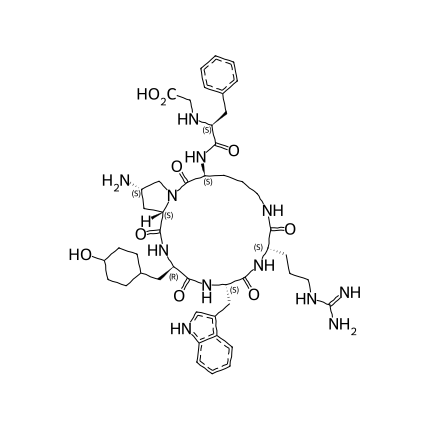 N=C(N)NCCC[C@@H]1NC(=O)[C@H](Cc2c[nH]c3ccccc23)NC(=O)[C@@H](CC2CCC(O)CC2)NC(=O)[C@@H]2C[C@H](N)CN2C(=O)[C@@H](NC(=O)[C@H](Cc2ccccc2)NCC(=O)O)CCCNC1=O